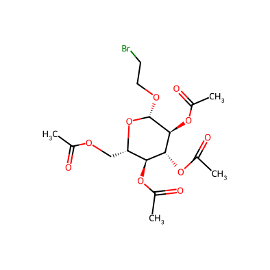 CC(=O)OC[C@@H]1O[C@H](OCCBr)[C@@H](OC(C)=O)[C@H](OC(C)=O)[C@H]1OC(C)=O